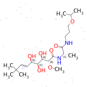 CO[C@@H](C(=O)N[C@@H](C)C(=O)NCCCOC(C)C)[C@H](O)[C@@H](O)[C@H](O)/C=C/C(C)(C)C